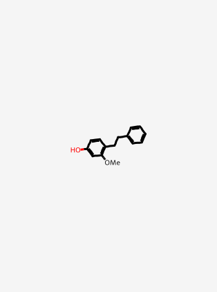 COc1cc(O)ccc1CCc1ccccc1